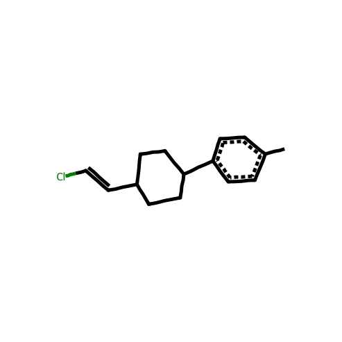 Cc1ccc(C2CCC(/C=C/Cl)CC2)cc1